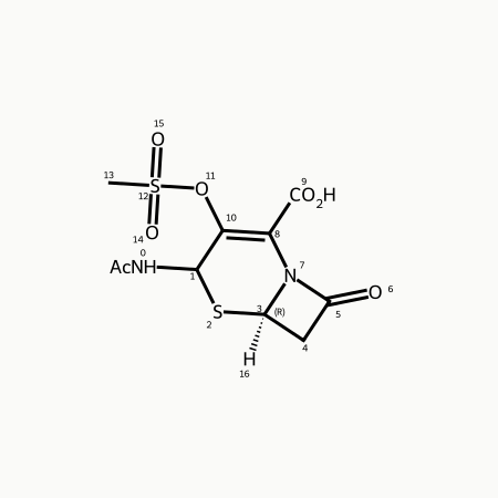 CC(=O)NC1S[C@@H]2CC(=O)N2C(C(=O)O)=C1OS(C)(=O)=O